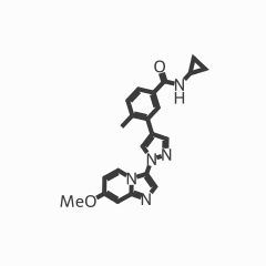 COc1ccn2c(-n3cc(-c4cc(C(=O)NC5CC5)ccc4C)cn3)cnc2c1